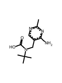 Cc1ncc(CN(C(=O)O)C(C)(C)C)c(N)n1